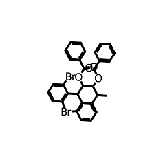 Cc1cccc(Br)c1C1c2c(Br)cccc2C(C)C(OC(=O)c2ccccc2)C1OC(=O)c1ccccc1